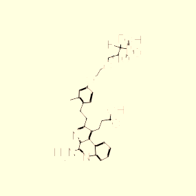 Cc1cc(OCCOCCC(F)(F)P(=O)(O)O)ccc1CCc1cnc2c(N)nc3ccccc3c2c1CCC(=O)O